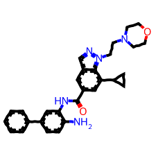 Nc1ccc(-c2ccccc2)cc1NC(=O)c1cc(C2CC2)c2c(cnn2CCN2CCOCC2)c1